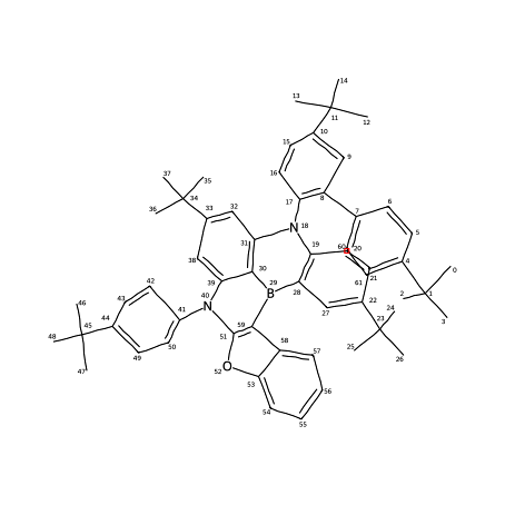 CC(C)(C)c1ccc(-c2cc(C(C)(C)C)ccc2N2c3ccc(C(C)(C)C)cc3B3c4c2cc(C(C)(C)C)cc4N(c2ccc(C(C)(C)C)cc2)c2oc4ccccc4c23)cc1